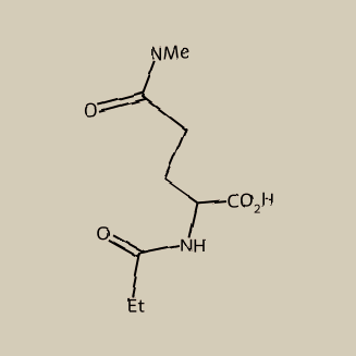 CCC(=O)NC(CCC(=O)NC)C(=O)O